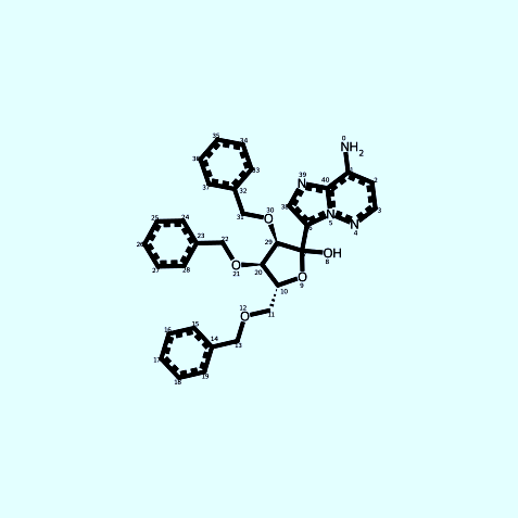 Nc1ccnn2c(C3(O)O[C@H](COCc4ccccc4)[C@@H](OCc4ccccc4)[C@H]3OCc3ccccc3)cnc12